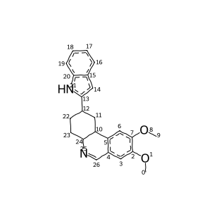 COc1cc2c(cc1OC)C1CC(c3cc4ccccc4[nH]3)CCC1N=C2